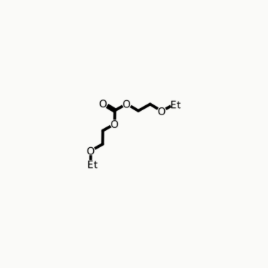 CCOCCOC(=O)OCCOCC